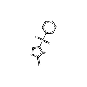 O=c1[nH]c(S(=O)(=O)c2ccccc2)co1